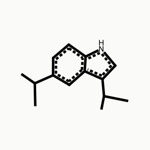 CC(C)c1ccc2[nH]cc(C(C)C)c2c1